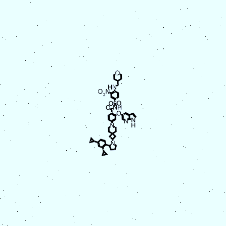 O=C(NS(=O)(=O)c1ccc(NCC2CCOCC2)c([N+](=O)[O-])c1)c1ccc(N2CCC3(CC2)CC(N2CCCC2c2ccc(C4CC4)cc2C2CC2)C3)cc1Oc1cnc2[nH]ccc2c1